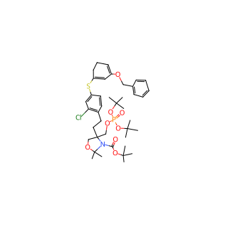 CC(C)(C)OC(=O)N1C(CCc2ccc(SC3=CC(OCc4ccccc4)=CCC3)cc2Cl)(COP(=O)(OC(C)(C)C)OC(C)(C)C)COC1(C)C